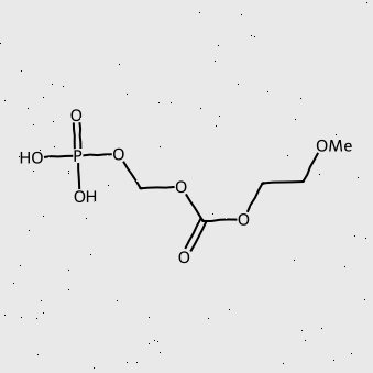 COCCOC(=O)OCOP(=O)(O)O